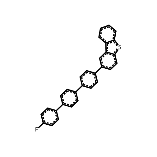 Fc1ccc(-c2ccc(-c3ccc(-c4ccc5sc6ccccc6c5c4)cc3)cc2)cc1